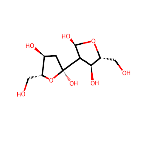 OC[C@H]1O[C@](O)(C2[C@@H](O)O[C@H](CO)[C@H]2O)C[C@@H]1O